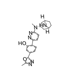 Cc1nnc(-c2ccc(-c3ccc(N(C)[C@@H]4C[C@H]5CC[C@@H](C4)N5)nn3)c(O)c2)o1